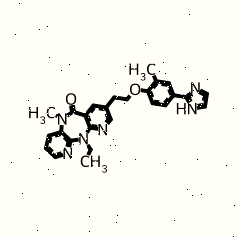 CCN1c2ncc(CCOc3ccc(-c4ncc[nH]4)cc3C)cc2C(=O)N(C)c2cccnc21